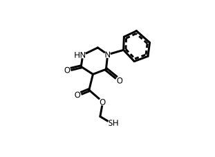 O=C1NCN(c2ccccc2)C(=O)C1C(=O)OCS